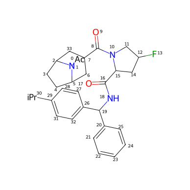 CC(=O)N1C2CCC1CC(C(=O)N1CC(F)CC1C(=O)NC(c1ccccc1)c1ccc(C(C)C)cc1)C2